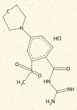 CS(=O)(=O)c1cc(N2CCCCC2)ccc1C(=O)NC(=N)N.Cl